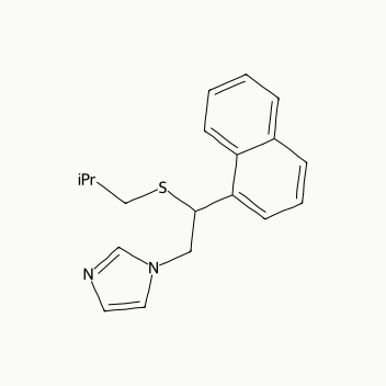 CC(C)CSC(Cn1ccnc1)c1cccc2ccccc12